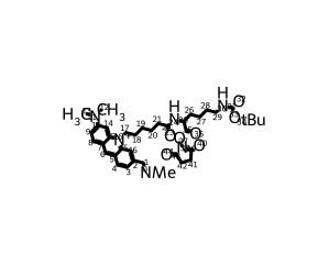 CNCc1ccc2cc3ccc(N(C)C)cc3[n+](CCCCCC(=O)NC(CCCCNC(=O)OC(C)(C)C)C(=O)ON3C(=O)CCC3=O)c2c1